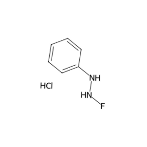 Cl.FNNc1ccccc1